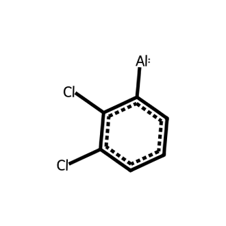 [Al][c]1cccc(Cl)c1Cl